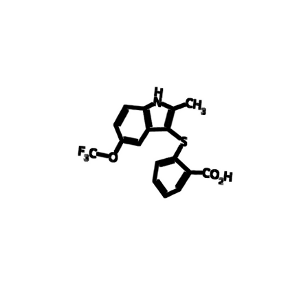 Cc1[nH]c2ccc(OC(F)(F)F)cc2c1Sc1ccccc1C(=O)O